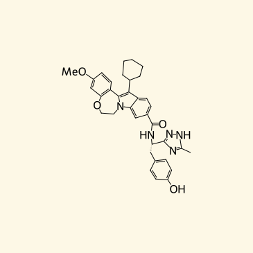 COc1ccc2c(c1)OCCn1c-2c(C2CCCCC2)c2ccc(C(=O)N[C@@H](Cc3ccc(O)cc3)c3n[nH]c(C)n3)cc21